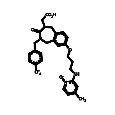 Cc1cc[n+]([O-])c(NCCCOc2ccc3c(c2)CN(Cc2ccc(C(F)(F)F)cc2)C(=O)C(CC(=O)O)C3)c1